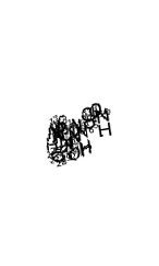 CNC(=O)c1ccc(Nc2ncc(-c3nnc(C)s3)c(N[C@H](CO)c3ccccc3)n2)cc1Cl